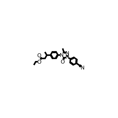 CCOC(=O)CC(C)c1ccc(-n2c(C)nn(-c3ccc(C#N)cc3)c2=O)cc1